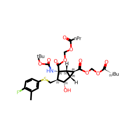 CCCC(=O)OCOC(=O)[C@@]1(NC(=O)OC(C)(C)C)[C@@H]2[C@@H](C(=O)OCOC(=O)[C@@H](C)CC)[C@@H]2[C@H](O)[C@H]1CSc1ccc(F)c(C)c1